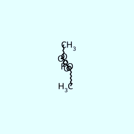 CCCCCCCCC1COC(c2ccc(C(=O)OCCCCCC)cc2F)OC1